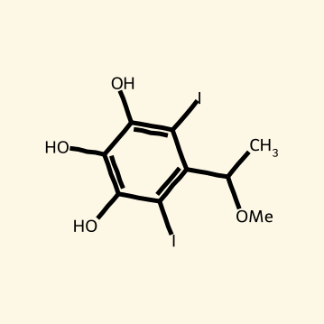 COC(C)c1c(I)c(O)c(O)c(O)c1I